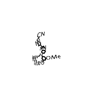 COc1cc(OC)cc(N(CCNC(C)C)c2ccc3ncc(C4C=NN(CCC#N)C4)nc3c2)c1